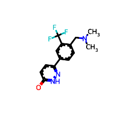 CN(C)Cc1ccc(-c2ccc(=O)[nH]n2)cc1C(F)(F)F